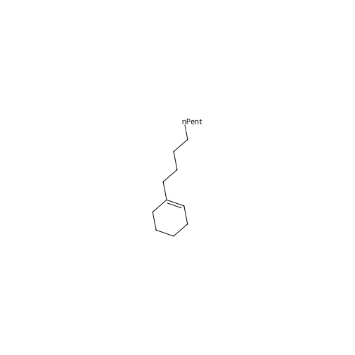 CCCCCCCCCC1=CCCCC1